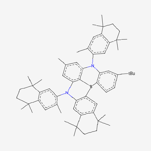 Cc1cc2c3c(c1)N(c1cc4c(cc1C)C(C)(C)CCC4(C)C)c1cc4c(cc1B3c1ccc(C(C)(C)C)cc1N2c1cc2c(cc1C)C(C)(C)CCC2(C)C)C(C)(C)CCC4(C)C